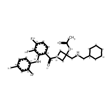 CC(=O)OC1(CNCC2CCCCC2)CN(C(=O)c2ccc(F)c(F)c2Nc2ccc(I)cc2F)C1